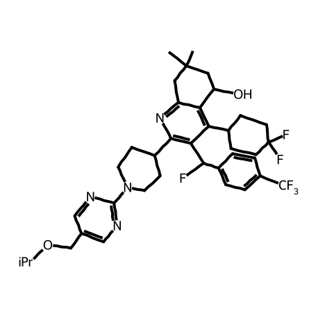 CC(C)OCc1cnc(N2CCC(c3nc4c(c(C5CCC(F)(F)CC5)c3C(F)c3ccc(C(F)(F)F)cc3)C(O)CC(C)(C)C4)CC2)nc1